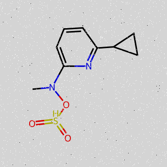 CN(O[SH](=O)=O)c1cc[c]c(C2CC2)n1